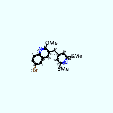 COc1nc2ccc(Br)cc2cc1Cc1cc(SC)nc(SC)c1